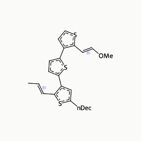 C/C=C/c1sc(CCCCCCCCCC)cc1-c1ccc(-c2ccsc2/C=C/OC)s1